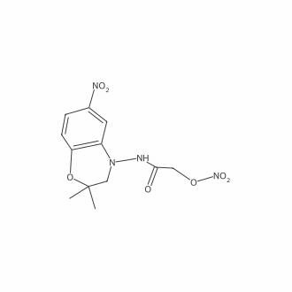 CC1(C)CN(NC(=O)CO[N+](=O)[O-])c2cc([N+](=O)[O-])ccc2O1